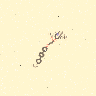 CC1CCC(c2ccc(-c3ccc(OCCCC(=O)OC4CC(C)(C)N(C)C(C)(C)C4)cc3)cc2)CC1